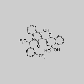 O=c1c(C2=NS(O)(O)c3ccccc3N2)c(O)c2cccnc2n1C(c1cccc(C(F)(F)F)c1)C(F)(F)F